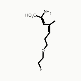 CC(=C/CCOCCF)/C=C(\N)C(=O)O